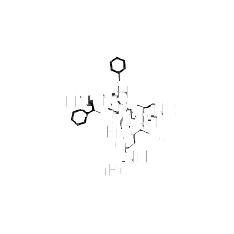 CCC(C)CNC(=O)CC(O)C(CC(C)C)NC(=O)[C@H](Cc1c[nH]cn1)NC(=O)[C@H](Cc1c[nH]c2ccccc12)NC(=O)OCc1ccccc1